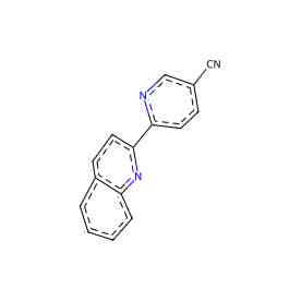 N#Cc1ccc(-c2ccc3c[c]ccc3n2)nc1